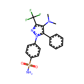 CN(C)c1c(C(F)(F)F)nn(-c2ccc(S(N)(=O)=O)cc2)c1-c1ccccc1